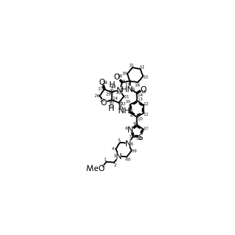 COCCN1CCN(c2nc(-c3ccc(C(=O)NC4(C(=O)N5C[C@@H](N)[C@H]6OCC(=O)[C@H]65)CCCCC4)cc3)cs2)CC1